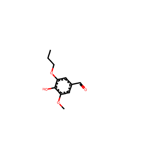 CCCOc1cc(C=O)cc(OC)c1O